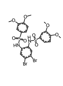 COc1ccc(S(=O)(=O)Nc2cc(Br)c(Br)cc2NS(=O)(=O)c2ccc(OC)c(OC)c2)cc1OC